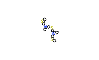 c1ccc2c(c1)sc1ccc(-n3c4ccccc4c4cc(Sc5ccc6c(c5)c5ccccc5n6-c5ccc6sc7ccccc7c6c5)ccc43)cc12